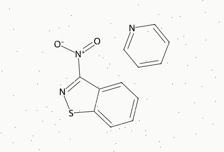 O=[N+]([O-])c1nsc2ccccc12.c1ccncc1